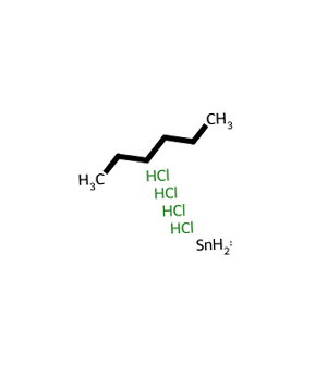 CCCCCC.Cl.Cl.Cl.Cl.[SnH2]